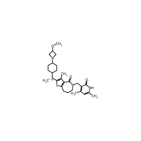 COC1CN(C2CCC([C@@H](C)c3sc4c(c3C)C(=O)N(Cc3c(C)cc(C)[nH]c3=O)CCC4)CC2)C1